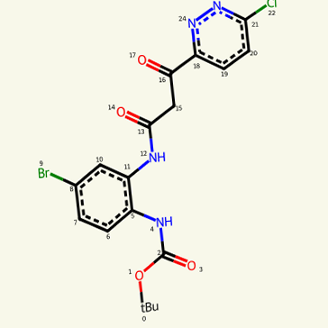 CC(C)(C)OC(=O)Nc1ccc(Br)cc1NC(=O)CC(=O)c1ccc(Cl)nn1